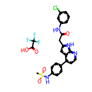 CS(=O)(=O)Nc1ccc(-c2ccnc3[nH]c(CC(=O)Nc4cccc(Cl)c4)cc23)cc1.O=C(O)C(F)(F)F